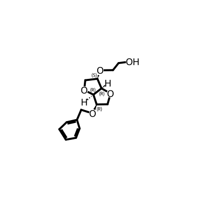 OCCO[C@H]1CO[C@H]2[C@@H]1OC[C@H]2OCc1ccccc1